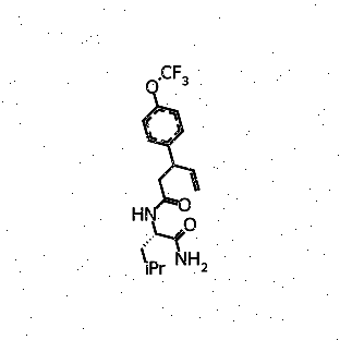 C=CC(CC(=O)N[C@@H](CC(C)C)C(N)=O)c1ccc(OC(F)(F)F)cc1